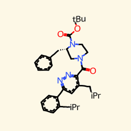 CC(C)Cc1cc(-c2ccccc2C(C)C)nnc1C(=O)N1CCN(C(=O)OC(C)(C)C)[C@@H](Cc2ccccc2)C1